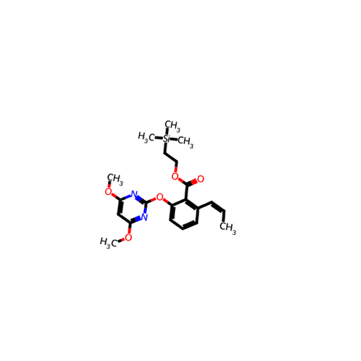 C/C=C\c1cccc(Oc2nc(OC)cc(OC)n2)c1C(=O)OCC[Si](C)(C)C